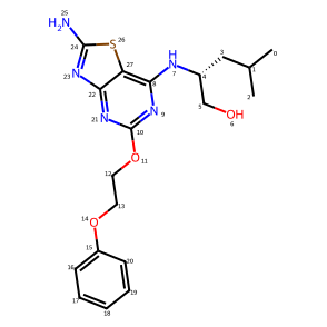 CC(C)C[C@H](CO)Nc1nc(OCCOc2ccccc2)nc2nc(N)sc12